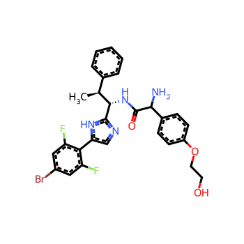 C[C@@H](c1ccccc1)[C@H](NC(=O)C(N)c1ccc(OCCO)cc1)c1ncc(-c2c(F)cc(Br)cc2F)[nH]1